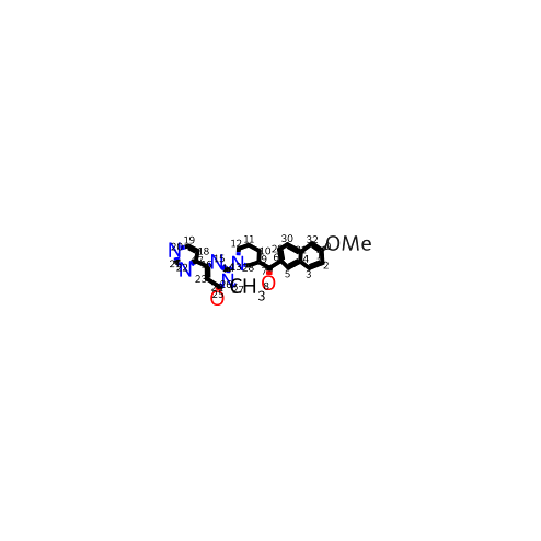 COc1ccc2cc(C(=O)C3CCCN(c4nc(-c5ccncn5)cc(=O)n4C)C3)ccc2c1